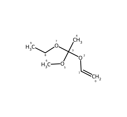 C=COC(C)(OC)OCC